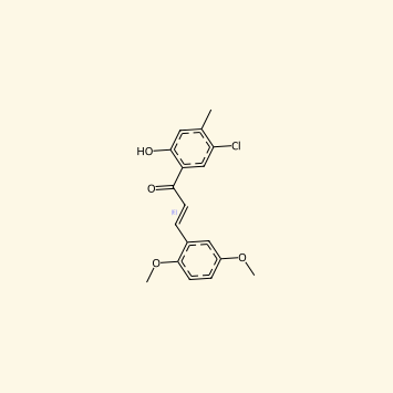 COc1ccc(OC)c(/C=C/C(=O)c2cc(Cl)c(C)cc2O)c1